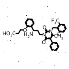 Cc1c(-c2ccccc2)c(=O)n(CC[C@H](N)c2ccccc2OCCC(=O)O)c(=O)n1Cc1c(F)cccc1C(F)(F)F